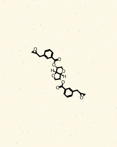 O=C(O[C@H]1CO[C@H]2[C@@H]1OC[C@H]2OC(=O)c1cccc(CC2CO2)c1)c1cccc(CC2CO2)c1